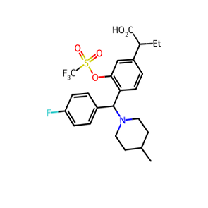 CCC(C(=O)O)c1ccc(C(c2ccc(F)cc2)N2CCC(C)CC2)c(OS(=O)(=O)C(F)(F)F)c1